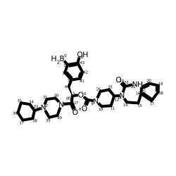 Bc1cc(C[C@@H](OC(=O)N2CCC(N3CCc4ccccc4NC3=O)CC2)C(=O)N2CCN(C3CCCCC3)CC2)ccc1O